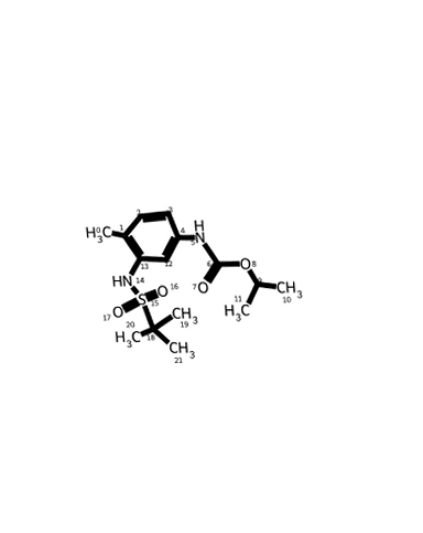 Cc1ccc(NC(=O)OC(C)C)cc1NS(=O)(=O)C(C)(C)C